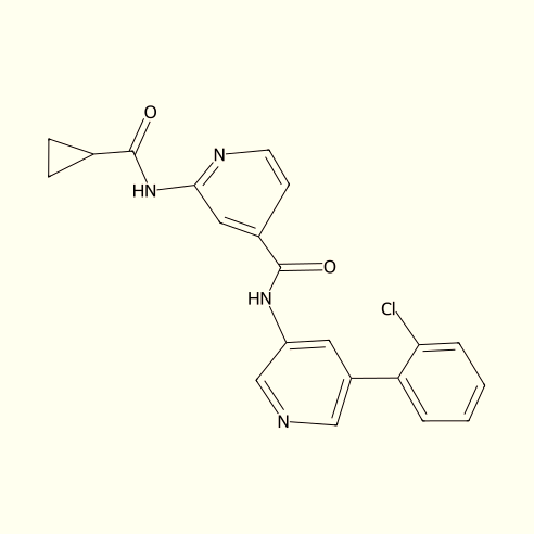 O=C(Nc1cncc(-c2ccccc2Cl)c1)c1ccnc(NC(=O)C2CC2)c1